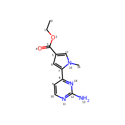 CCOC(=O)c1cc(-c2ccnc(N)n2)n(C)c1